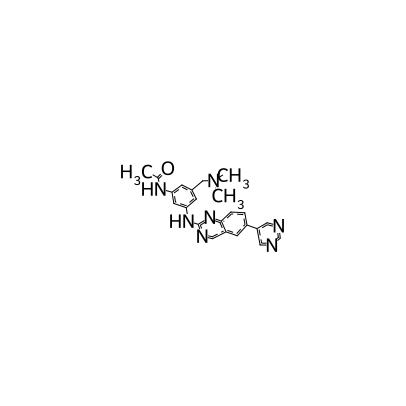 CC(=O)Nc1cc(CN(C)C)cc(Nc2ncc3cc(-c4cncnc4)ccc3n2)c1